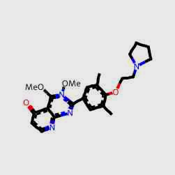 COc1c2c(=O)ccnc-2nc(-c2cc(C)c(OCCN3CCCC3)c(C)c2)n1OC